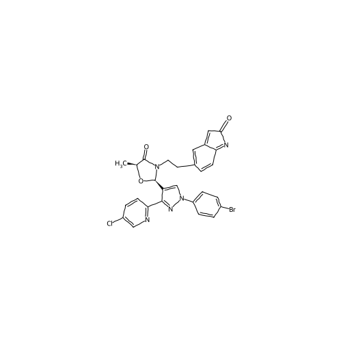 C[C@@H]1O[C@H](c2cn(-c3ccc(Br)cc3)nc2-c2ccc(Cl)cn2)N(CCc2ccc3c(c2)=CC(=O)N=3)C1=O